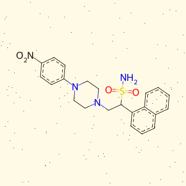 NS(=O)(=O)C(CN1CCN(c2ccc([N+](=O)[O-])cc2)CC1)c1cccc2ccccc12